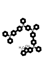 CC1(C)c2ccccc2-c2ccc(N(c3ccccc3)c3ccc(-c4ccc(N(c5ccccc5)c5ccc(N(c6ccccc6)c6ccc(-c7ccc(N(c8ccccc8)c8ccccc8)cc7)cc6)cc5)cc4)cc3)cc21